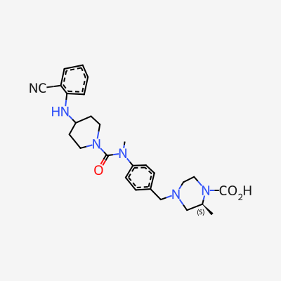 C[C@H]1CN(Cc2ccc(N(C)C(=O)N3CCC(Nc4ccccc4C#N)CC3)cc2)CCN1C(=O)O